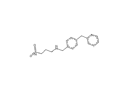 O=[SH](=O)CCCNCc1ccc(Cc2c[c]ccc2)cc1